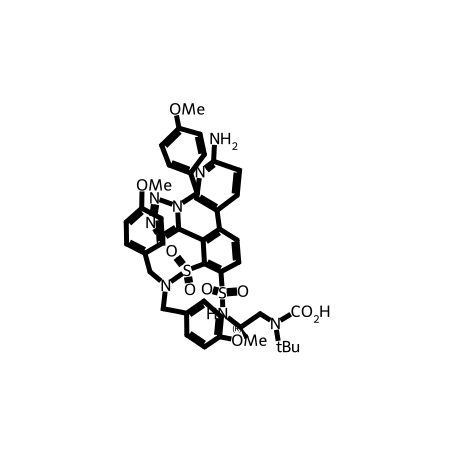 COc1ccc(CN(Cc2ccc(OC)cc2)S(=O)(=O)c2c(S(=O)(=O)N[C@H](C)CN(C(=O)O)C(C)(C)C)ccc(-c3ccc(N)nc3)c2-c2nnnn2Cc2ccc(OC)cc2)cc1